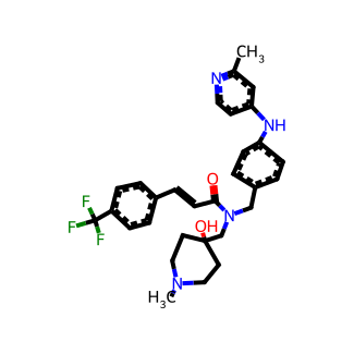 Cc1cc(Nc2ccc(CN(CC3(O)CCN(C)CC3)C(=O)C=Cc3ccc(C(F)(F)F)cc3)cc2)ccn1